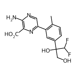 Cc1ccc(C(O)(CO)C(F)F)cc1-c1cnc(N)c(C(=O)O)n1